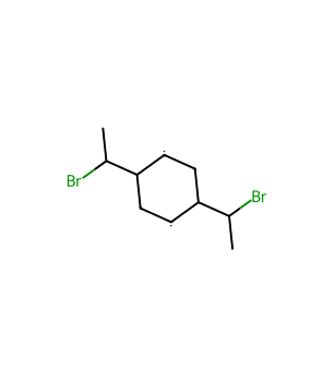 CC(Br)C1[CH]CC(C(C)Br)[CH]C1